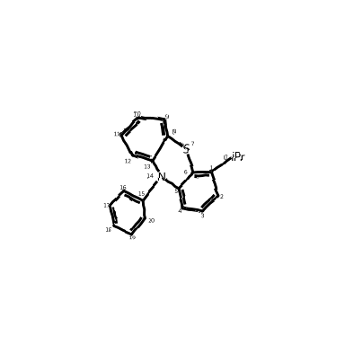 CC(C)c1cccc2c1Sc1ccccc1N2c1ccccc1